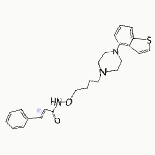 O=C(/C=C/c1ccccc1)NOCCCCN1CCN(c2cccc3sccc23)CC1